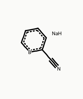 N#Cc1bcccc1.[NaH]